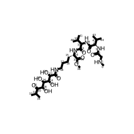 CNCC(=O)N[C@H](C(=O)NC(C(=O)N[C@@H](CCCCNC(=O)C(O)C(O)C(O)C(O)C(=O)C(C)C)C(=O)OC)C(C)C)C(C)C